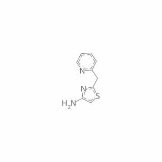 Nc1csc(Cc2ccccn2)n1